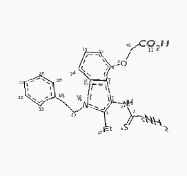 CCc1c(NC(N)=S)c2c(OCC(=O)O)cccc2n1Cc1ccccc1